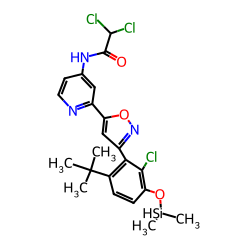 C[SiH](C)Oc1ccc(C(C)(C)C)c(-c2cc(-c3cc(NC(=O)C(Cl)Cl)ccn3)on2)c1Cl